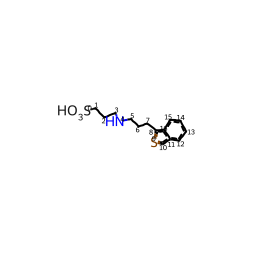 O=S(=O)(O)CCCNCCCc1scc2ccccc12